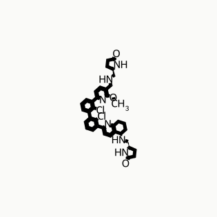 COc1nc(-c2cccc(-c3cccc(-c4ccc5c(n4)CCC[C@H]5NC[C@@H]4CCC(=O)N4)c3Cl)c2Cl)ccc1CNC[C@H]1CCC(=O)N1